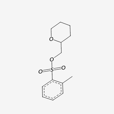 Cc1ccccc1S(=O)(=O)OCC1CCCCO1